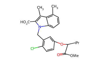 COC(=O)C(Oc1ccc(Cl)c(Cn2c(C(=O)O)c(C)c3c(C)cccc32)c1)C(C)C